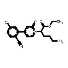 CCCCC(C(=O)OCC)n1ccc(-c2cc(Cl)ccc2C#N)cc1=O